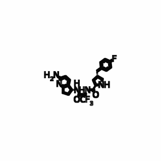 Nc1ccc2c(n1)CC[C@H]2NC(=O)C(NC(=O)[C@H]1C[C@H](Cc2ccc(F)cc2)CN1)C(F)(F)F